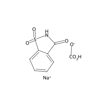 O=C([O-])O.O=C1NS(=O)(=O)c2ccccc21.[Na+]